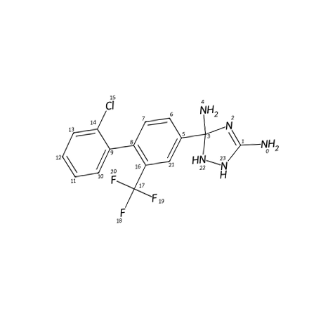 NC1=NC(N)(c2ccc(-c3ccccc3Cl)c(C(F)(F)F)c2)NN1